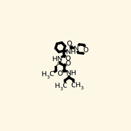 CCC[C@H](NC(=O)C1(NC(=O)N2CCOCC2)CCCCC1)C(=O)C(=O)NC(CC)CC